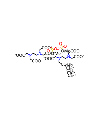 COS(=O)(=O)[O-].COS(=O)(=O)[O-].O=C([O-])CN(CCN(CC(=O)[O-])CC(=O)[O-])CC(=O)[O-].O=C([O-])CN(CCN(CC(=O)[O-])CC(=O)[O-])CC(=O)[O-].[Ca+2].[Ca+2].[Ca+2].[Ca+2].[Ca+2]